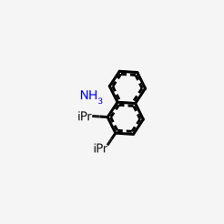 CC(C)c1ccc2ccccc2c1C(C)C.N